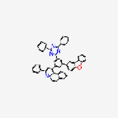 c1ccc(-c2cc(-c3cc(-c4ccc5oc6ccccc6c5c4)cc(-c4nc(-c5ccccc5)nc(-c5ccccc5)n4)c3)c3c(ccc4ccccc43)n2)cc1